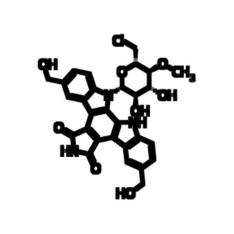 CO[C@H]1[C@H](O)[C@@H](O)[C@H](n2c3ccc(CO)cc3c3c4c(c5c6cc(CO)ccc6[nH]c5c32)C(=O)NC4=O)O[C@@H]1CCl